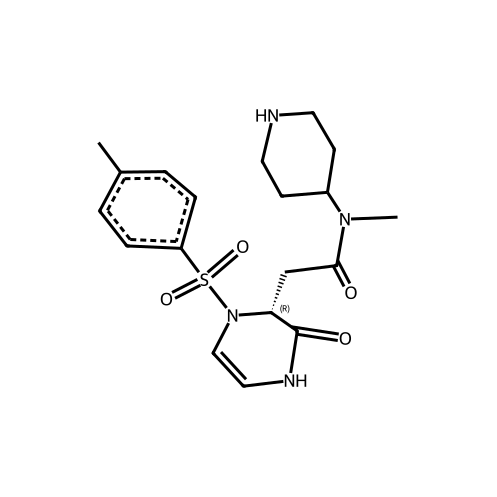 Cc1ccc(S(=O)(=O)N2C=CNC(=O)[C@H]2CC(=O)N(C)C2CCNCC2)cc1